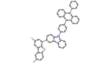 Cc1ccc2sc3c(-c4ccc5c(c4)c4ccccc4n5-c4ccc(-c5c6ccccc6c(-c6ccccc6)c6ccccc56)cc4)cc(C)cc3c2c1